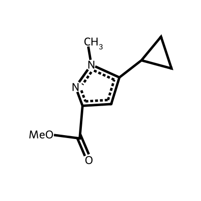 COC(=O)c1cc(C2CC2)n(C)n1